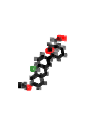 CCOc1ccc(Cc2cc([C@@]34CCC[C@](CO)(CO3)O4)ccc2Cl)cc1